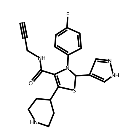 C#CCNC(=O)C1=C(C2CCNCC2)SC(c2cn[nH]c2)N1c1ccc(F)cc1